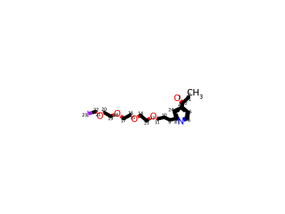 CCC(=O)c1ccnc(CCCOCCOCCOCCOCI)c1